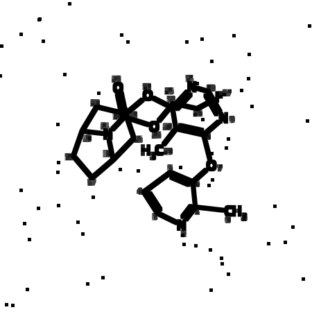 Cc1ncccc1Oc1ncnc(OC2CC3CCC(C2)N3C(=O)OCCF)c1C